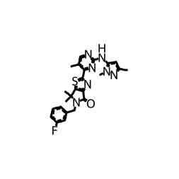 Cc1cc(Nc2ncc(C)c(-c3nc4c(s3)C(C)(C)N(Cc3cccc(F)c3)C4=O)n2)n(C)n1